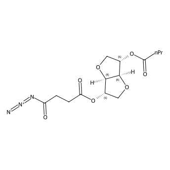 CCCC(=O)O[C@H]1CO[C@H]2[C@@H]1OC[C@@H]2OC(=O)CCC(=O)N=[N+]=[N-]